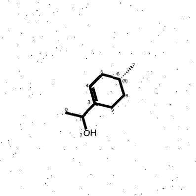 CC(O)C1=CC[C@H](C)CC1